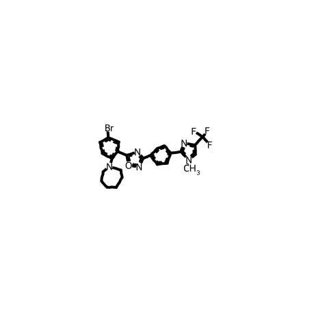 Cn1cc(C(F)(F)F)nc1-c1ccc(-c2noc(-c3cc(Br)ccc3N3CCCCCC3)n2)cc1